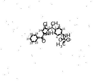 CC(c1ccc(NS(C)(=O)=O)cc1)c1[nH]c(C(=O)c2ccccc2)cc1Cl